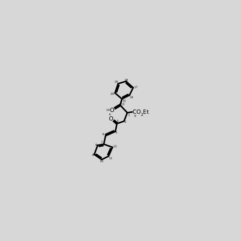 CCOC(=O)C(CC(=O)C=Cc1ccccc1)C(=O)c1ccccc1